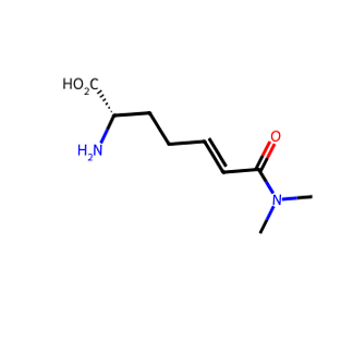 CN(C)C(=O)/C=C/CC[C@H](N)C(=O)O